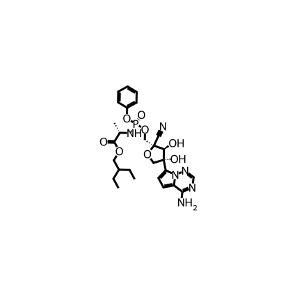 CCC(CC)COC(=O)[C@H](C)N[P@](=O)(OC[C@@]1(C#N)OC[C@](O)(c2ccc3c(N)ncnn23)[C@@H]1O)Oc1ccccc1